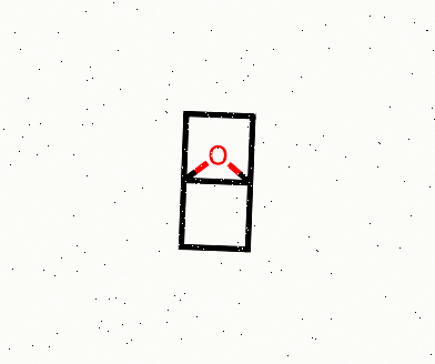 C1CC23CCC12O3